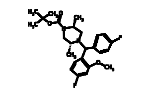 COc1cc(F)ccc1C(c1ccc(F)cc1)N1C[C@H](C)N(C(=O)OC(C)(C)C)C[C@H]1C